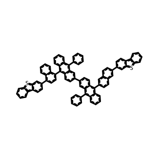 c1ccc(-c2c3ccccc3c(-c3ccc4cc(-c5ccc6c(c5)sc5ccccc56)ccc4c3)c3ccc(-c4ccc5c(-c6ccc(-c7ccc8c(c7)sc7ccccc78)c7ccccc67)c6ccccc6c(-c6ccccc6)c5c4)cc23)cc1